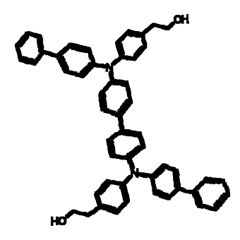 OCCc1ccc(N(c2ccc(-c3ccccc3)cc2)c2ccc(-c3ccc(N(c4ccc(CCO)cc4)c4ccc(-c5ccccc5)cc4)cc3)cc2)cc1